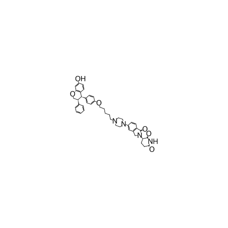 O=C1CCC(N2Cc3cc(N4CCN(CCCCCOc5ccc([C@@H]6c7ccc(O)cc7OC[C@@H]6c6ccccc6)cc5)CC4)ccc3C2=O)C(=O)N1